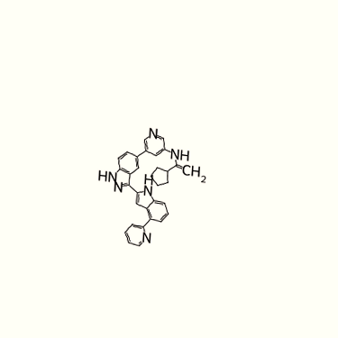 C=C(Nc1cncc(-c2ccc3[nH]nc(-c4cc5c(-c6ccccn6)cccc5[nH]4)c3c2)c1)C1CCCC1